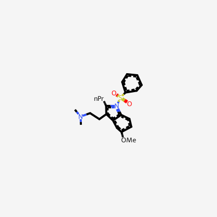 CCCc1c(CCN(C)C)c2cc(OC)ccc2n1S(=O)(=O)c1ccccc1